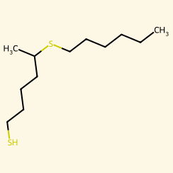 CCCCCCSC(C)CCCCS